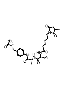 CC1CC(=O)N(CCCCCC(=O)N[C@H](C(=O)N[C@@H](C)C(=O)Nc2ccc(COC(=O)C(C)(C)C)cc2)C(C)C)C1=O